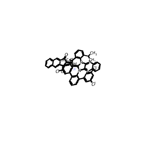 CC(C)c1cccc(C(C)C)c1N1/C(=C\C=C2C(=O)c3cc4ccccc4cc3C2=O)N(c2c(-c3cc(Cl)cc(Cl)c3)cccc2-c2cc(Cl)cc(Cl)c2)c2nc3ccccc3nc21